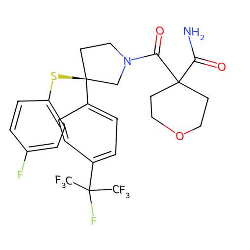 NC(=O)C1(C(=O)N2CC[C@@](Sc3ccc(F)cc3)(c3ccc(C(F)(C(F)(F)F)C(F)(F)F)cc3)C2)CCOCC1